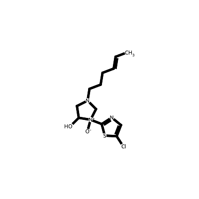 CC=CCCCN1CC(O)[N+]([O-])(c2ncc(Cl)s2)C1